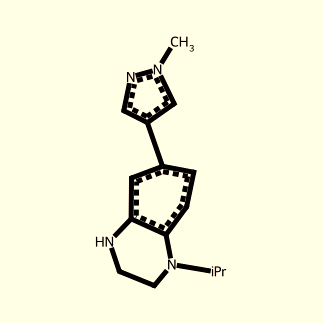 CC(C)N1CCNc2cc(-c3cnn(C)c3)ccc21